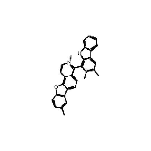 Cc1ccc2oc3c4cc[n+](C)c(-c5c(C)c(C)cc6c5oc5ccccc56)c4ccc3c2c1